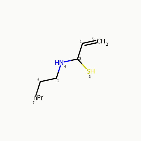 C=CC(S)NCCCCC